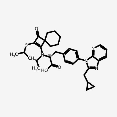 CCN(C1=C(SC(C)C)C(=O)C12CCCCC2)[C@@H](Cc1ccc(-n2c(CC3CC3)nc3cccnc32)cc1)C(=O)O